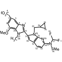 COc1cc(C(=O)O)cc2nc(-c3cc4ccc(N(SC)C(F)F)nc4n3CC3CC3)n(C)c12